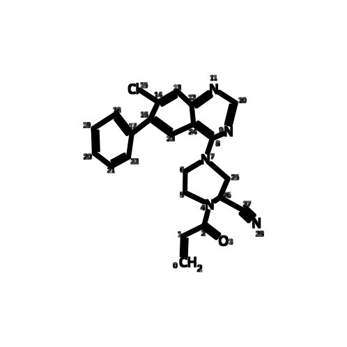 C=CC(=O)N1CCN(c2ncnc3cc(Cl)c(-c4ccccc4)cc23)CC1C#N